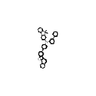 CC1(C)c2ccccc2-c2ccc(N(c3ccc(-c4ccc5oc6c7ccccc7ccc6c5c4)cc3)c3cccc(-c4ccccc4)c3)cc21